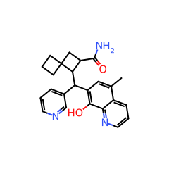 Cc1cc(C(c2cccnc2)C2C(C(N)=O)CC23CCC3)c(O)c2ncccc12